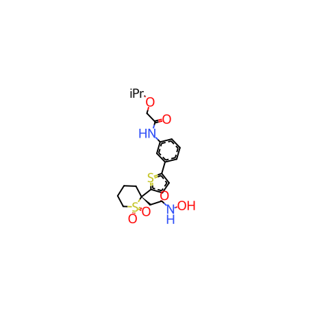 CC(C)OCC(=O)Nc1cccc(-c2ccc([C@@]3(CC(=O)NO)CCCCS3(=O)=O)s2)c1